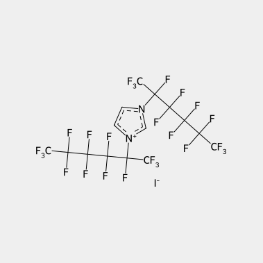 FC(F)(F)C(F)(F)C(F)(F)C(F)(F)C(F)(n1cc[n+](C(F)(C(F)(F)F)C(F)(F)C(F)(F)C(F)(F)C(F)(F)F)c1)C(F)(F)F.[I-]